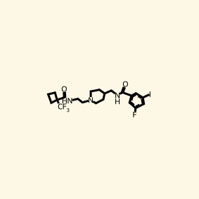 O=C(NCC1CCN(CCNC(=O)C2(C(F)(F)F)CCC2)CC1)c1cc(F)cc(I)c1